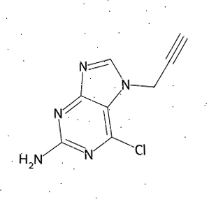 C#CCn1cnc2nc(N)nc(Cl)c21